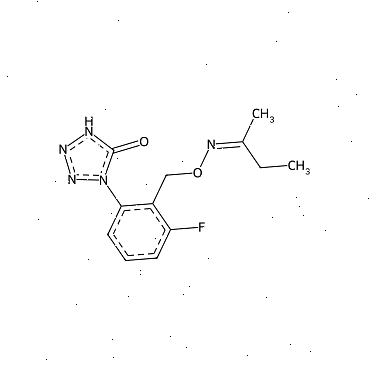 CCC(C)=NOCc1c(F)cccc1-n1nn[nH]c1=O